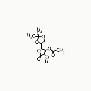 CC(=O)O[C@@H]1[C@@H]([C@@H]2COC(C)(C)O2)OC(=O)[C@H]1O